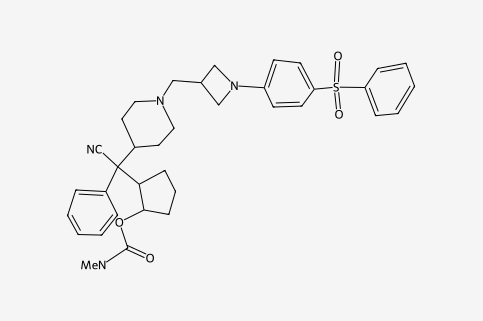 CNC(=O)OC1CCCC1C(C#N)(c1ccccc1)C1CCN(CC2CN(c3ccc(S(=O)(=O)c4ccccc4)cc3)C2)CC1